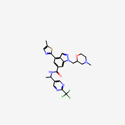 Cc1cnc(-c2cc(C(=O)NC(C)c3cnc(C(F)(F)F)nc3)cc3c2cnn3CC2CN(C)CCO2)s1